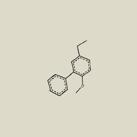 CCc1ccc(OC)c(-c2cc[c]cc2)c1